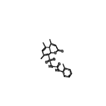 CC1=CC(=O)OC2C(S(=O)(=O)NC(=O)Nc3ccccc3C)=C(C)C=C(C)C12